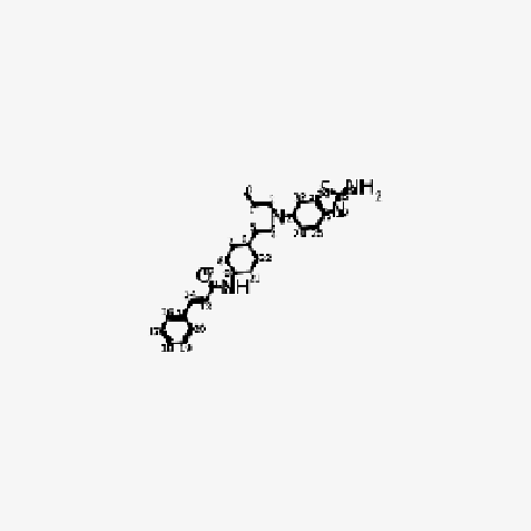 CCCN(CCC1CCC(NC(=O)C=Cc2ccccc2)CC1)C1CCc2nc(N)sc2C1